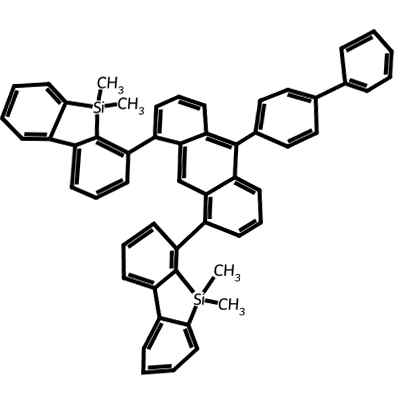 C[Si]1(C)c2ccccc2-c2cccc(-c3cccc4c(-c5ccc(-c6ccccc6)cc5)c5cccc(-c6cccc7c6[Si](C)(C)c6ccccc6-7)c5cc34)c21